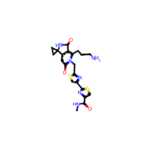 CNC(=O)c1csc(-c2csc(Cn3c(CCCN)c4c(cc3=O)C3(CC3)NC4=O)n2)n1